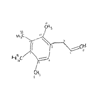 [CH]=CCc1cc(C)c(C)c(C)c1C